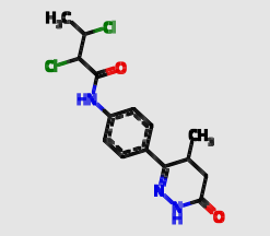 CC1CC(=O)NN=C1c1ccc(NC(=O)C(Cl)C(C)Cl)cc1